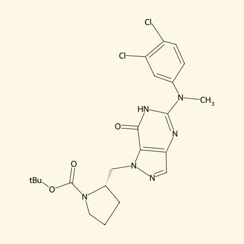 CN(c1ccc(Cl)c(Cl)c1)c1nc2cnn(C[C@@H]3CCCN3C(=O)OC(C)(C)C)c2c(=O)[nH]1